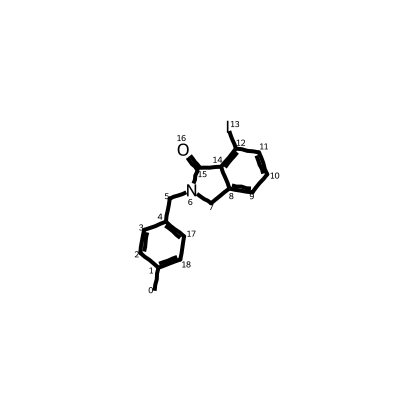 Cc1ccc(CN2Cc3cccc(I)c3C2=O)cc1